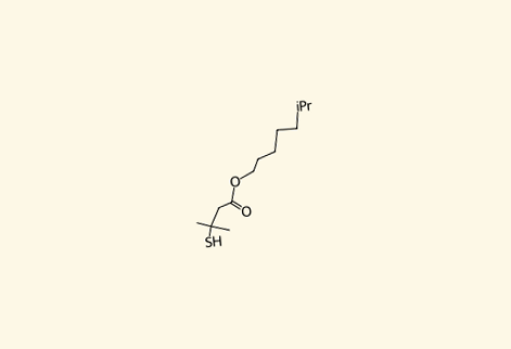 CC(C)CCCCCOC(=O)CC(C)(C)S